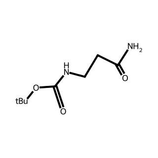 CC(C)(C)OC(=O)NCCC(N)=O